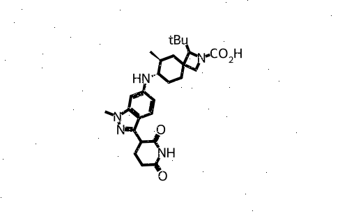 C[C@H]1CC2(CC[C@@H]1Nc1ccc3c(C4CCC(=O)NC4=O)nn(C)c3c1)CN(C(=O)O)C2C(C)(C)C